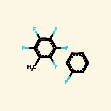 Cc1c(F)c(F)c(F)c(F)c1F.Fc1ccccc1